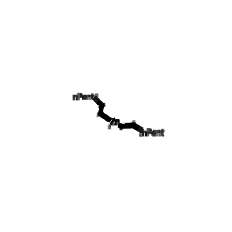 CCCCCC[CH2][Zn][CH2]CCCCCC